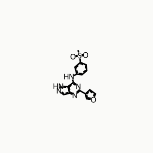 CS(=O)(=O)c1cccc(Nc2nc(-c3ccoc3)nc3cn[nH]c23)c1